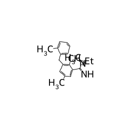 CCN(C)C(=N)c1cc(C)cc(Cc2ccccc2C)c1C